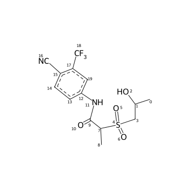 CC(O)CS(=O)(=O)C(C)C(=O)Nc1ccc(C#N)c(C(F)(F)F)c1